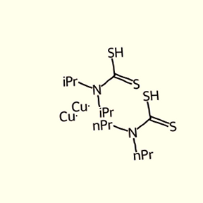 CC(C)N(C(=S)S)C(C)C.CCCN(CCC)C(=S)S.[Cu].[Cu]